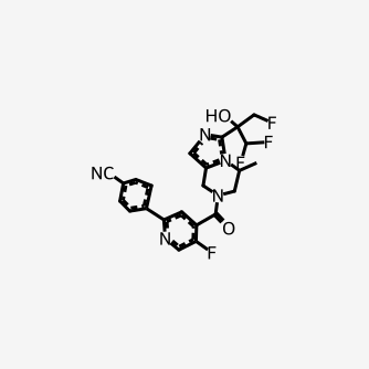 CC1CN(C(=O)c2cc(-c3ccc(C#N)cc3)ncc2F)Cc2cnc(C(O)(CF)C(F)F)n21